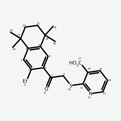 CCc1cc2c(cc1C(=O)CSc1ncccc1C(=O)O)C(C)(C)CCC2(C)C